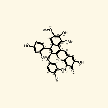 COc1cc(O)ccc1-c1c(Cc2ccc(O)c(C)c2)c2oc3cc(=O)c(O)cc-3cc2c2c(OC)c(O)c(OC)cc12